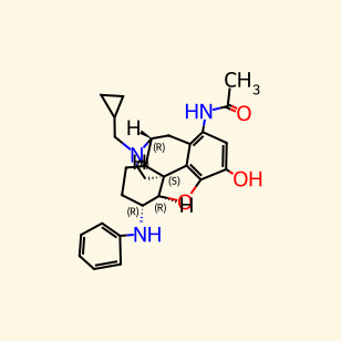 CC(=O)Nc1cc(O)c2c3c1C[C@@H]1[C@@H]4CC[C@@H](Nc5ccccc5)[C@H](O2)[C@]34CCN1CC1CC1